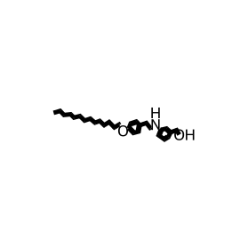 CCCCCCCCCCCCCCOc1ccc(CCNc2cccc(CO)c2)cc1